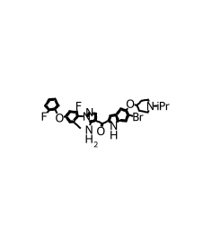 Cc1cc(Oc2ccccc2F)cc(F)c1-n1ncc(C(=O)c2cc3cc(OC4CCN(C(C)C)CC4)c(Br)cc3[nH]2)c1N